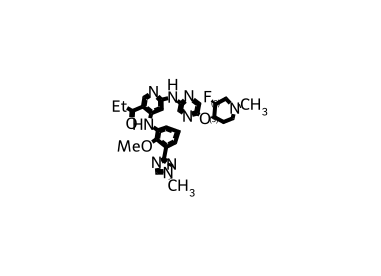 CCC(=O)c1cnc(Nc2cnc(O[C@H]3CCN(C)C[C@@H]3F)cn2)cc1Nc1cccc(-c2ncn(C)n2)c1OC